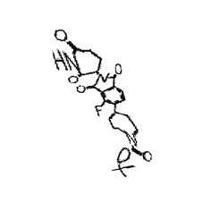 CC(C)(C)OC(=O)N1CC=C(c2ccc3c(c2F)C(=O)N(C2CCC(=O)NC2=O)C3=O)CC1